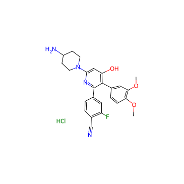 COc1ccc(-c2c(O)cc(N3CCC(N)CC3)nc2-c2ccc(C#N)c(F)c2)cc1OC.Cl